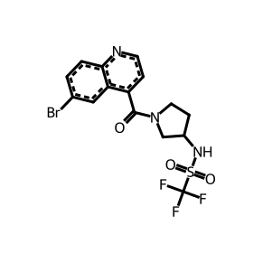 O=C(c1ccnc2ccc(Br)cc12)N1CCC(NS(=O)(=O)C(F)(F)F)C1